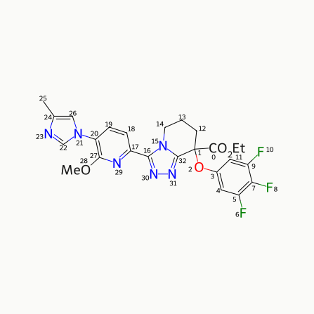 CCOC(=O)C1(Oc2cc(F)c(F)c(F)c2)CCCn2c(-c3ccc(-n4cnc(C)c4)c(OC)n3)nnc21